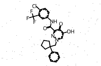 O=C(Nc1ccc(Cl)c(C(F)(F)F)c1)c1nn(CC2(c3ccccc3)CCCC2)cc(O)c1=O